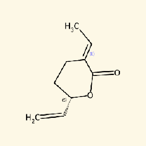 C=C[C@@H]1CC/C(=C\C)C(=O)O1